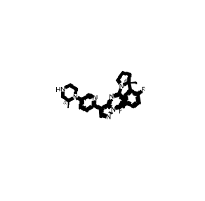 C[C@H]1CNCCN1c1ccc(-c2cnn3ccc(N4CCC[C@]4(C)c4cc(F)ccc4F)nc23)nc1